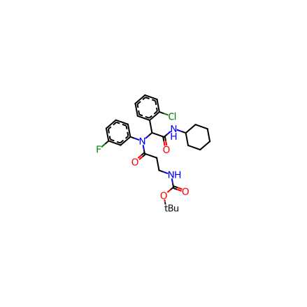 CC(C)(C)OC(=O)NCCC(=O)N(c1cccc(F)c1)C(C(=O)NC1CCCCC1)c1ccccc1Cl